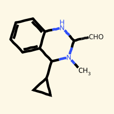 CN1C(C=O)Nc2ccccc2C1C1CC1